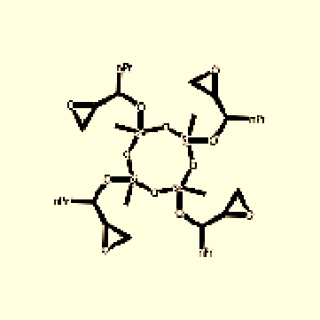 CCCC(O[Si]1(C)O[Si](C)(OC(CCC)C2CO2)O[Si](C)(OC(CCC)C2CO2)O[Si](C)(OC(CCC)C2CO2)O1)C1CO1